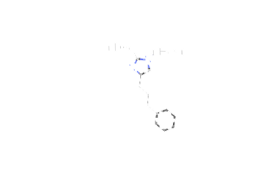 CCCCCCCCCCc1nc(CCCc2ccccc2)cn1CCCCCCC